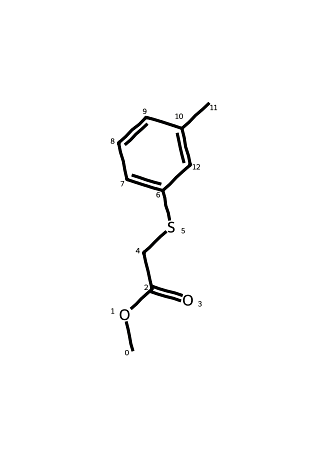 COC(=O)CSc1cccc(C)c1